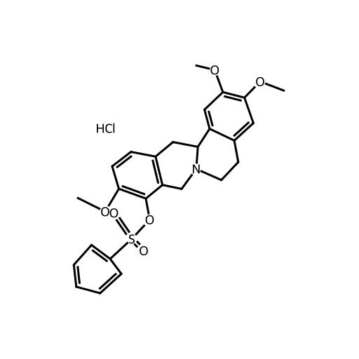 COc1cc2c(cc1OC)C1Cc3ccc(OC)c(OS(=O)(=O)c4ccccc4)c3CN1CC2.Cl